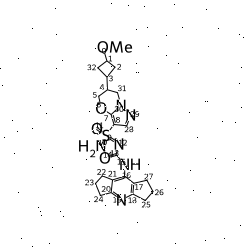 COC1CC(C2COc3c(S(N)(=O)=NC(=O)Nc4c5c(nc6c4CCC6)CCC5)cnn3C2)C1